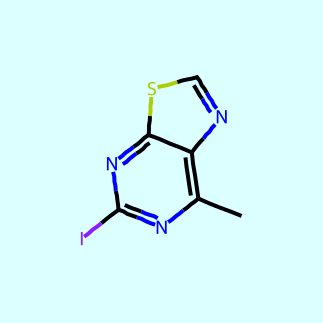 Cc1nc(I)nc2scnc12